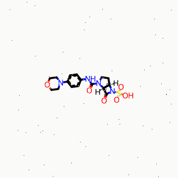 O=C(Nc1ccc(N2CCOCC2)cc1)N1CC[C@@H]2[C@H]1C(=O)N2S(=O)(=O)O